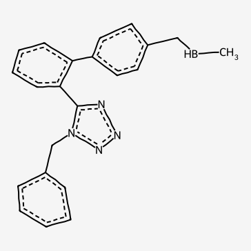 CBCc1ccc(-c2ccccc2-c2nnnn2Cc2ccccc2)cc1